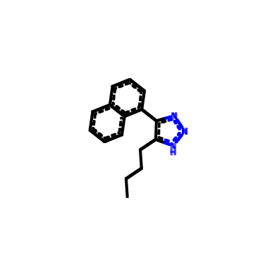 CCCCc1[nH]nnc1-c1cccc2ccccc12